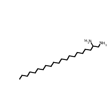 CCCCCCCCCCCCCCCCCCCC(N)CN